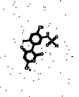 CCS(=O)(=O)Nc1cc(-n2c(=O)cc(C(F)(F)F)oc2=O)c(F)cc1C#N